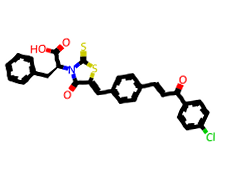 O=C(/C=C/c1ccc(/C=C2\SC(=S)N([C@@H](Cc3ccccc3)C(=O)O)C2=O)cc1)c1ccc(Cl)cc1